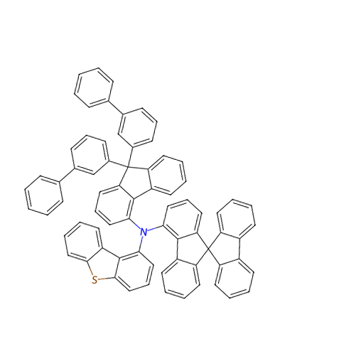 c1ccc(-c2cccc(C3(c4cccc(-c5ccccc5)c4)c4ccccc4-c4c(N(c5cccc6c5-c5ccccc5C65c6ccccc6-c6ccccc65)c5cccc6sc7ccccc7c56)cccc43)c2)cc1